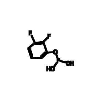 OP(O)Oc1cccc(F)c1F